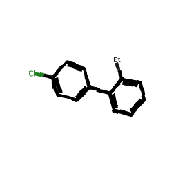 CCc1cc[c]cc1-c1ccc(Cl)cc1